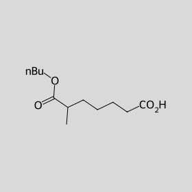 CCCCOC(=O)C(C)CCCCC(=O)O